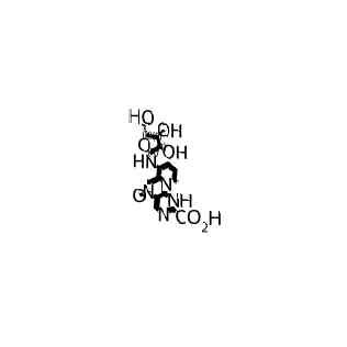 O=C(O)C1=NC=C2C(=[n+]3cccc(N[C@@H]4O[C@H](CO)[C@@H](O)[C@H]4O)c3=CN2[O-])N1